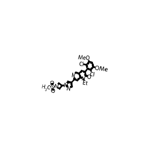 CCn1c(=O)c(-c2c(Cl)c(OC)cc(OC)c2Cl)cc2cnc(-c3cnn(C4CN(S(C)(=O)=O)C4)c3)cc21